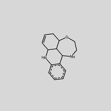 C1=CC2Nc3ccccc3C3NCCOC(C1)C23